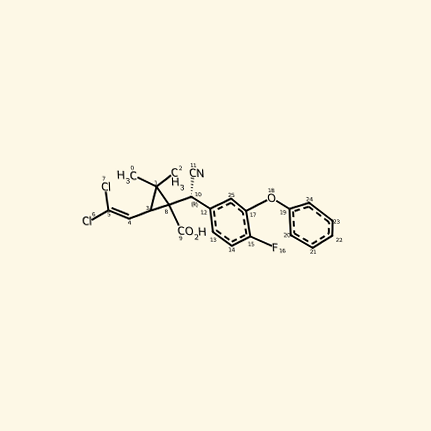 CC1(C)C(C=C(Cl)Cl)C1(C(=O)O)[C@H](C#N)c1ccc(F)c(Oc2ccccc2)c1